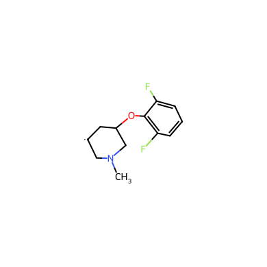 CN1C[CH]CC(Oc2c(F)cccc2F)C1